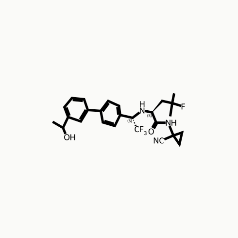 CC(O)c1cccc(-c2ccc([C@H](N[C@@H](CC(C)(C)F)C(=O)NC3(C#N)CC3)C(F)(F)F)cc2)c1